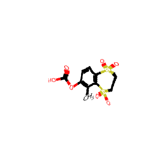 Cc1c(OC(=O)O)ccc2c1S(=O)(=O)CCS2(=O)=O